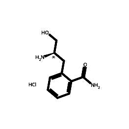 Cl.NC(=O)c1ccccc1C[C@@H](N)CO